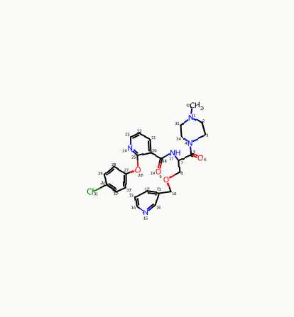 CN1CCN(C(=O)C(COCc2cccnc2)NC(=O)c2cccnc2Oc2ccc(Cl)cc2)CC1